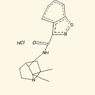 CC1(C)C(NC(=O)c2noc3ccccc23)C2CCN1CC2.Cl